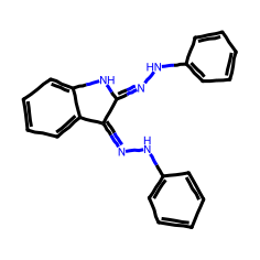 c1ccc(NN=C2Nc3ccccc3C2=NNc2ccccc2)cc1